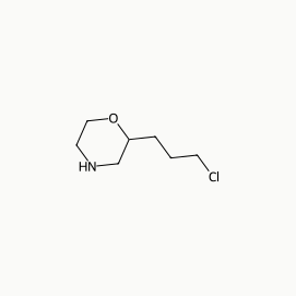 ClCCCC1CNCCO1